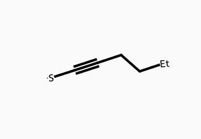 [CH2]CCCC#C[S]